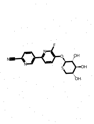 N#Cc1ccc(-c2ccc(O[C@@H]3SC[C@@H](O)[C@H](O)[C@H]3O)c(F)n2)cn1